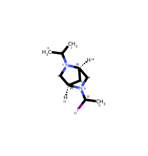 CC(C)N1C[C@H]2C[C@@H]1CN2C(C)I